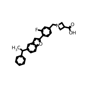 CC(c1ccccc1)c1ccc2oc(-c3ccc(CN4CC(C(=O)O)C4)cc3F)cc2c1